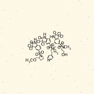 CN(CCO)S(=O)(=O)c1ccc2c(c1)C(Cl)(Cl)C(=O)N2.CN(CCc1ccncc1)S(=O)(=O)c1ccc2c(c1)C(Cl)(Cl)C(=O)N2.COCC1CCCN1S(=O)(=O)c1ccc2c(c1)C(Cl)(Cl)C(=O)N2